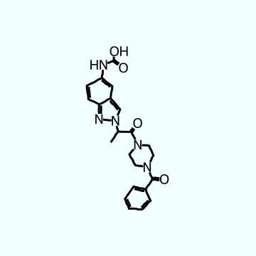 CC(C(=O)N1CCN(C(=O)c2ccccc2)CC1)n1cc2cc(NC(=O)O)ccc2n1